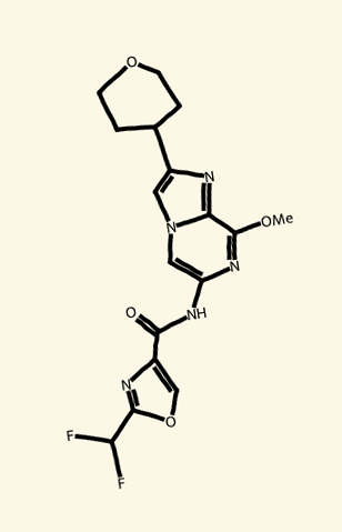 COc1nc(NC(=O)c2coc(C(F)F)n2)cn2cc(C3CCOCC3)nc12